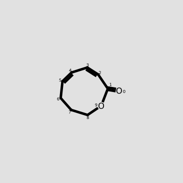 O=C1C=CC=CCCCO1